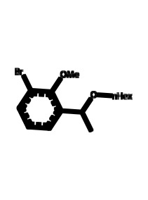 CCCCCCOC(C)c1cccc(Br)c1OC